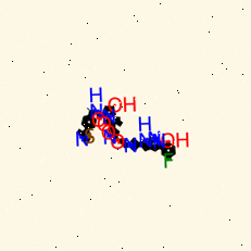 Cc1ncsc1-c1ccc([C@H](C)NC(=O)[C@@H]2C[C@@H](O)CN2C(=O)[C@@H](c2cc(OCCN3CC(c4cc5cc(-c6cc(F)ccc6O)nnc5[nH]4)C3)no2)C(C)C)cc1